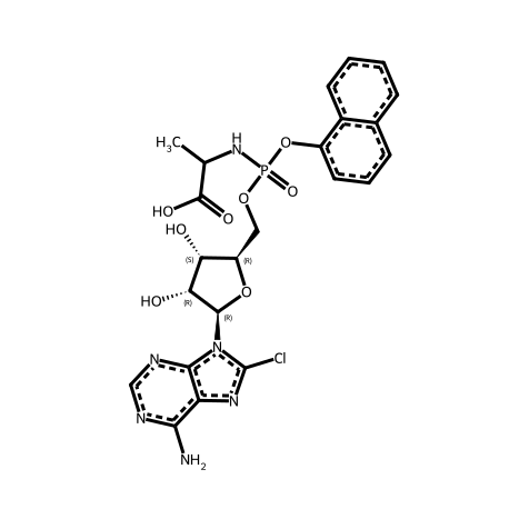 CC(NP(=O)(OC[C@H]1O[C@@H](n2c(Cl)nc3c(N)ncnc32)[C@H](O)[C@@H]1O)Oc1cccc2ccccc12)C(=O)O